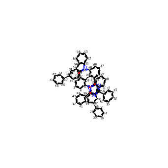 FC(F)(F)c1cccc(-n2c3ccccc3c3cc(-c4ccccc4)ccc32)c1-c1c(-c2nc(-c3ccccc3)nc(-c3ccccc3)n2)cccc1-n1c2ccccc2c2cc(-c3ccccc3)ccc21